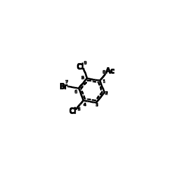 CC(=O)c1ccc(Cl)c(Br)c1Cl